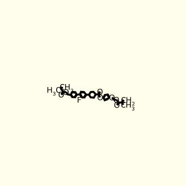 C=C(C)C(=O)OCOc1ccc(OC(=O)C2CCC(c3ccc(-c4ccc(COC(=O)C(=C)C)cc4)c(F)c3)CC2)cc1